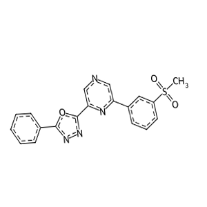 CS(=O)(=O)c1cccc(-c2cncc(-c3nnc(-c4ccccc4)o3)n2)c1